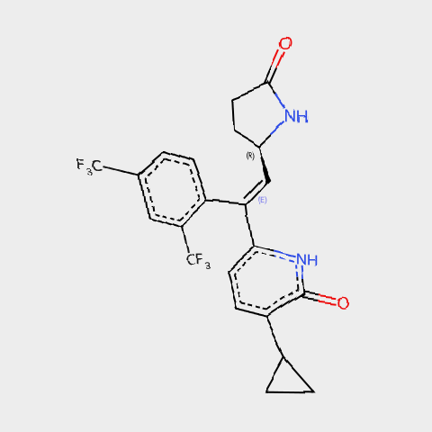 O=C1CC[C@H](/C=C(/c2ccc(C3CC3)c(=O)[nH]2)c2ccc(C(F)(F)F)cc2C(F)(F)F)N1